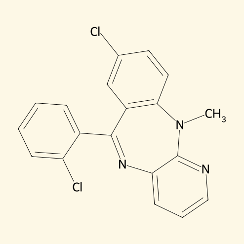 CN1c2ccc(Cl)cc2C(c2ccccc2Cl)=Nc2cccnc21